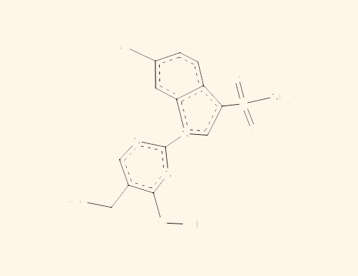 CCc1cnc(-n2cc(S(N)(=O)=O)c3ccc(Cl)cc32)nc1OC